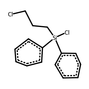 ClCCC[Si](Cl)(c1ccccc1)c1ccccc1